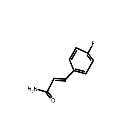 NC(=O)C=Cc1ccc(F)cc1